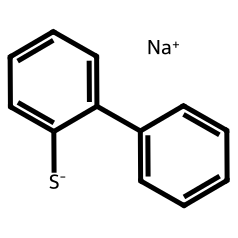 [Na+].[S-]c1ccccc1-c1ccccc1